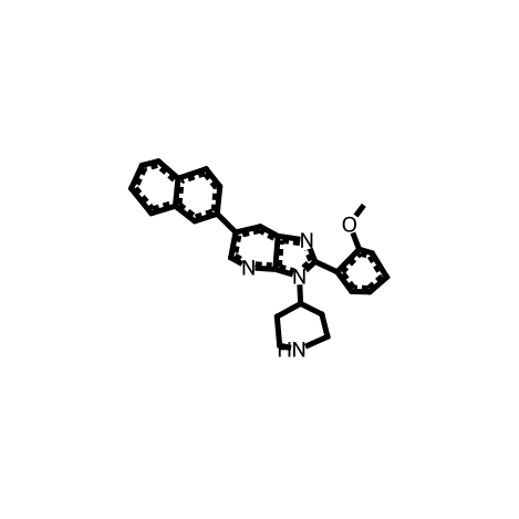 COc1ccccc1-c1nc2cc(-c3ccc4ccccc4c3)cnc2n1C1CCNCC1